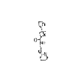 O=C(NCCOc1ccccn1)c1cc(-c2ccco2)on1